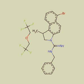 CC1CN(C(=N)NCc2ccccc2)c2ccc3c(Br)cccc3c21.FC(F)(F)COCC(F)(F)F